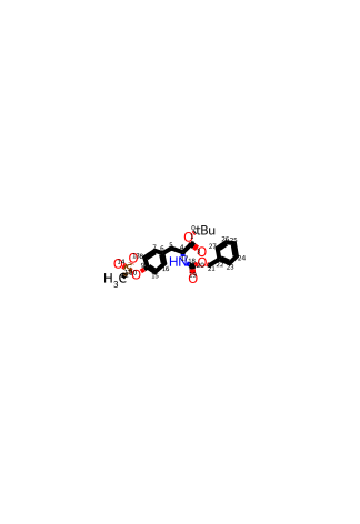 CC(C)(C)OC(=O)C(Cc1ccc(OS(C)(=O)=O)cc1)NC(=O)OCc1ccccc1